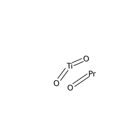 [O]=[Pr].[O]=[Ti]=[O]